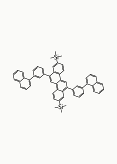 C[Si](C)(C)c1ccc2c(c1)c(-c1cccc(-c3cccc4ccccc34)c1)cc1c3ccc([Si](C)(C)C)cc3c(-c3cccc(-c4cccc5ccccc45)c3)cc21